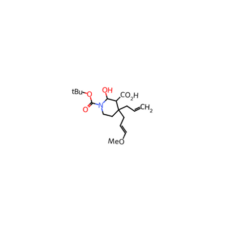 C=CCC1(CC=COC)CCN(C(=O)OC(C)(C)C)C(O)C1C(=O)O